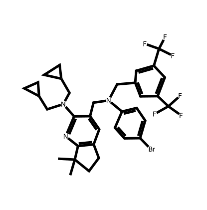 CC1(C)CCc2cc(CN(Cc3cc(C(F)(F)F)cc(C(F)(F)F)c3)c3ccc(Br)cc3)c(N(CC3CC3)CC3CC3)nc21